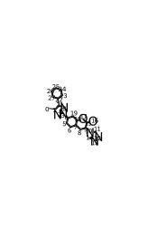 Cc1nn(-c2ccc3cc(-n4cnnc4)c(=O)oc3c2)nc1-c1ccccc1